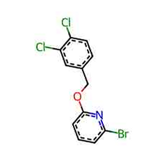 Clc1ccc(COc2cccc(Br)n2)cc1Cl